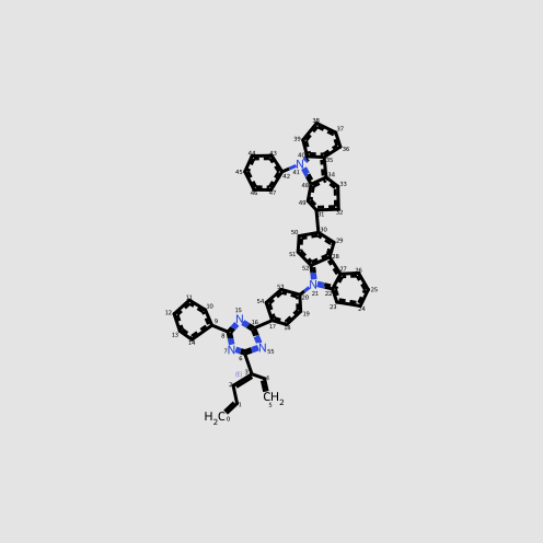 C=C/C=C(\C=C)c1nc(-c2ccccc2)nc(-c2ccc(-n3c4ccccc4c4cc(-c5ccc6c7ccccc7n(-c7ccccc7)c6c5)ccc43)cc2)n1